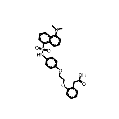 CN(C)c1cccc2c(S(=O)(=O)Nc3ccc(OCCOc4ccccc4CC(=O)O)cc3)cccc12